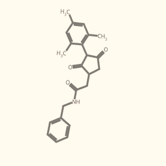 Cc1cc(C)c(C2C(=O)CC(CC(=O)NCc3ccccc3)C2=O)c(C)c1